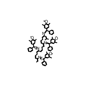 C/C=C(\C=C/C/C=C(\C=C/C/C=C(\C=C/C/C=C(\C=C(C)C)N=C=C(c1ccccc1)c1cc(C)c(OC)c(C)c1)N=C=C(c1ccccc1)c1cc(C)c(OC)c(C)c1)N=C=C(c1ccccc1)c1cc(C)c(OC)c(C)c1)N=C=C(c1ccccc1)c1cc(C)c(OC)c(C)c1